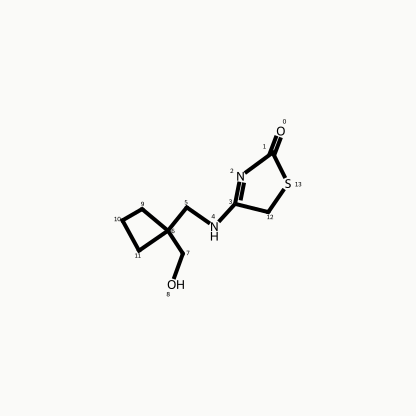 O=C1N=C(NCC2(CO)CCC2)CS1